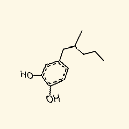 CCCC(C)Cc1ccc(O)c(O)c1